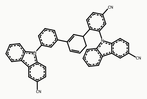 N#Cc1ccc(C2C=C(c3cccc(-n4c5ccccc5c5cc(C#N)ccc54)c3)C=CC2)c(-n2c3ccccc3c3cc(C#N)ccc32)c1